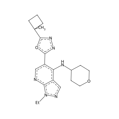 CCn1ncc2c(NC3CCOCC3)c(-c3nnc(C4(C)CCC4)o3)cnc21